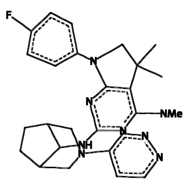 CNc1nc(NC2C3CCC2CN(c2ccnnc2)C3)nc2c1C(C)(C)CN2c1ccc(F)cc1